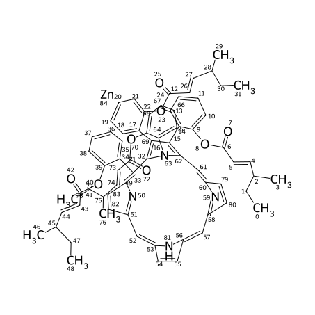 CCC(C)C=CC(=O)Oc1ccccc1-c1c(-c2ccccc2OC(=O)C=CC(C)CC)c2c(-c3ccccc3OC(=O)C=CC(C)CC)c3nc(cc4ccc(cc5nc(cc1n2-c1ccccc1OC(=O)C=CC(C)CC)C=C5)[nH]4)C=C3.[Zn]